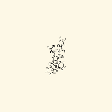 CC[C@H](C)CC(=O)N(C)[C@H](C[C@@H](OC(C)=O)c1nc(C(=O)NC2(Cc3ccccc3)CCCCC2)cs1)C(C)C